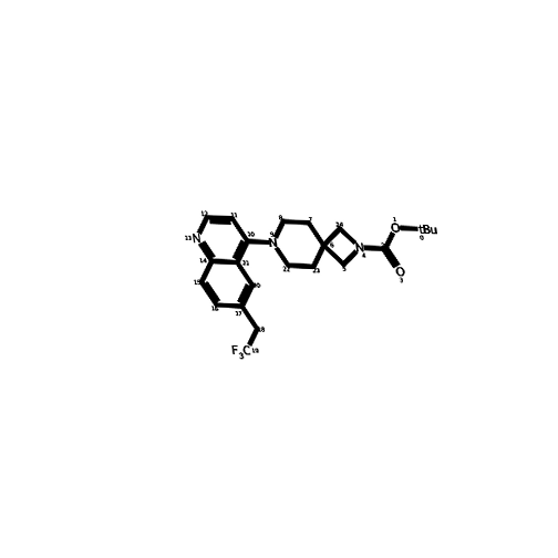 CC(C)(C)OC(=O)N1CC2(CCN(c3ccnc4ccc(CC(F)(F)F)cc34)CC2)C1